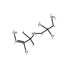 CCC(=NO)C(C)(C)NCC(CC)(CC)CN